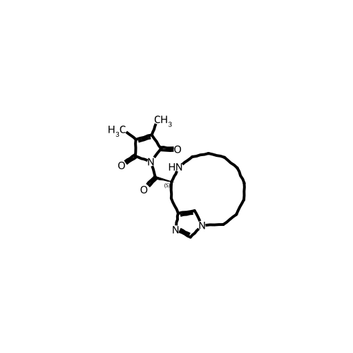 CC1=C(C)C(=O)N(C(=O)[C@@H]2Cc3cn(cn3)CCCCCCCCN2)C1=O